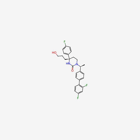 C[C@@H](c1ccc(-c2ccc(F)cc2F)cc1)N1CC[C@@](CCCO)(c2ccc(F)cc2)NC1=O